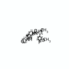 COc1cc([C@@H]2CN(C)C[C@H]2NC(=O)N2CCc3cnc(NC4CCOCC4)nc3C2)ccc1F